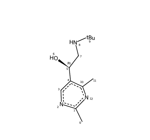 Cc1ncc([C@@H](O)CNC(C)(C)C)c(C)n1